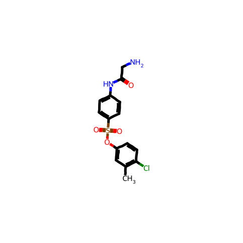 Cc1cc(OS(=O)(=O)c2ccc(NC(=O)CN)cc2)ccc1Cl